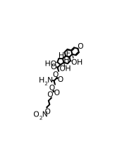 C[C@]12C=CC(=O)C=C1CC[C@H]1[C@@H]3C[C@@H](O)[C@](O)(C(=O)COC(=O)C(N)COC(=O)OCCCCO[N+](=O)[O-])[C@@]3(C)C[C@H](O)[C@@]12F